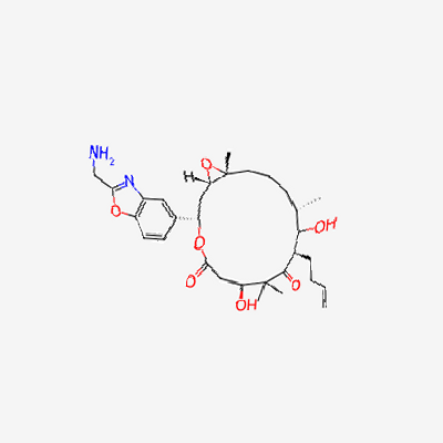 C=CCC[C@H]1C(=O)C(C)(C)[C@@H](O)CC(=O)O[C@H](c2ccc3oc(CN)nc3c2)C[C@@H]2O[C@]2(C)CCC[C@H](C)C1O